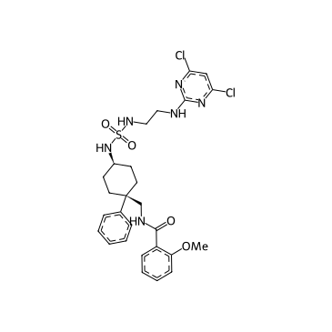 COc1ccccc1C(=O)NC[C@]1(c2ccccc2)CC[C@H](NS(=O)(=O)NCCNc2nc(Cl)cc(Cl)n2)CC1